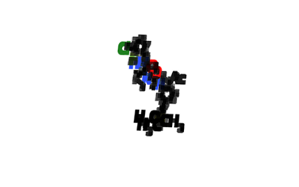 CC(=O)c1cn(CC(=O)N2CCC[C@H]2C(=O)NCc2cccc(Cl)c2F)c2cc(C#CS(C)(C)C)ccc12